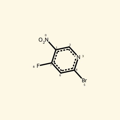 O=[N+]([O-])c1cnc(Br)cc1F